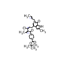 C/C=C(C(=O)N1CCN(C(=O)OC(C)(C)C)CC1)\C(Cl)=C/Cc1cn(C/C=C/C)c(=O)c2[nH]c(C)cc12